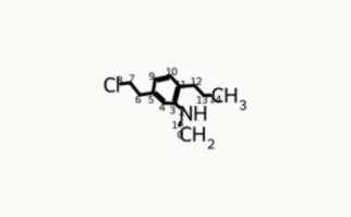 C=CNc1cc(CCCl)ccc1CCC